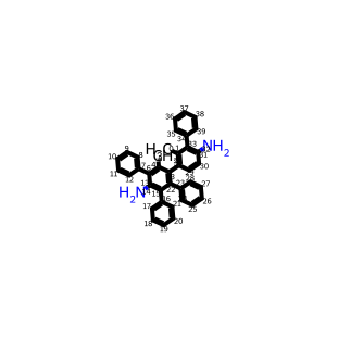 Cc1c(-c2c(C)c(-c3ccccc3)c(N)c(-c3ccccc3)c2-c2ccccc2)ccc(N)c1-c1ccccc1